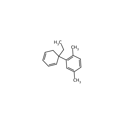 CCC1(c2cc(C)ccc2C)C=CC=CC1